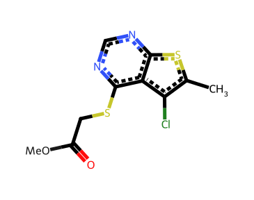 COC(=O)CSc1ncnc2sc(C)c(Cl)c12